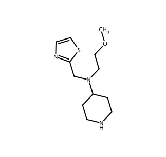 COCCN(Cc1nccs1)C1CCNCC1